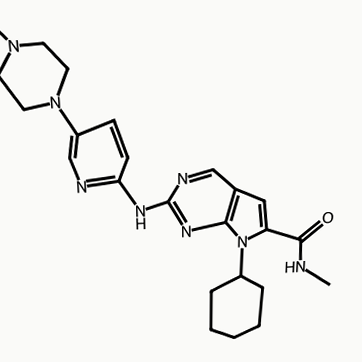 CNC(=O)c1cc2cnc(Nc3ccc(N4CCN(C)CC4)cn3)nc2n1C1CCCCC1